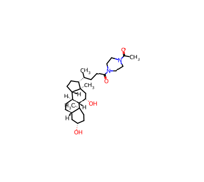 CC(=O)N1CCN(C(=O)CCC(C)[C@H]2CC[C@H]3[C@@H]4CC[C@H]5C[C@@H](O)CC[C@]5(C)[C@H]4[C@@H](O)C[C@]23C)CC1